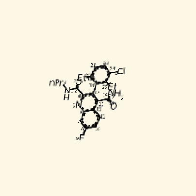 CCCNC(=O)c1nc2cc(F)ccc2c(C(N)=O)c1-c1c(CC)ccc(Cl)c1CC